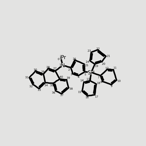 CC(C)N(c1ccc([Si](c2ccccc2)(c2ccccc2)c2ccccc2)cc1)c1cc2ccccc2c2ccccc12